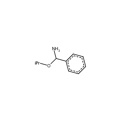 CC(C)OC(N)c1[c]cccc1